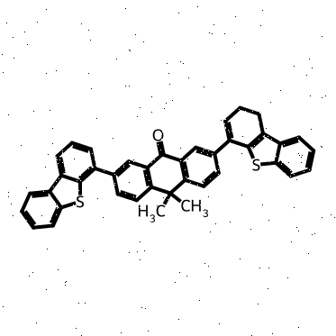 CC1(C)c2ccc(C3=CCCc4c3sc3ccccc43)cc2C(=O)c2cc(-c3cccc4c3sc3ccccc34)ccc21